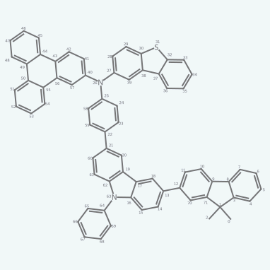 CC1(C)c2ccccc2-c2ccc(-c3ccc4c(c3)c3cc(-c5ccc(N(c6ccc7sc8ccccc8c7c6)c6ccc7c8ccccc8c8ccccc8c7c6)cc5)ccc3n4-c3ccccc3)cc21